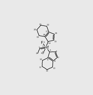 C[CH]=[Hf]([F])([F])([CH]1C=CC2=C1CCCC2)[CH]1C=CC2=C1CCCC2